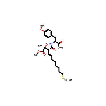 CCCCCCCSCCCCCC/C=C/[C@H](C(=O)NC(Cc1ccc(OCCCC)cc1)C(=O)OC)[C@@](O)(CCC)C(=O)OC(C)(C)C